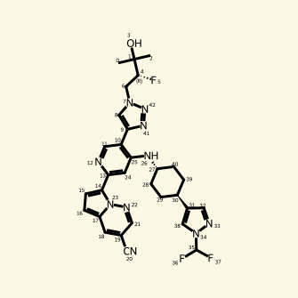 CC(C)(O)[C@H](F)Cn1cc(-c2cnc(-c3ccc4cc(C#N)cnn34)cc2N[C@H]2CC[C@H](c3cnn(C(F)F)c3)CC2)nn1